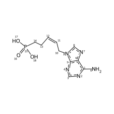 Nc1ncnc2c1ncn2C/C=C\CCP(=O)(O)O